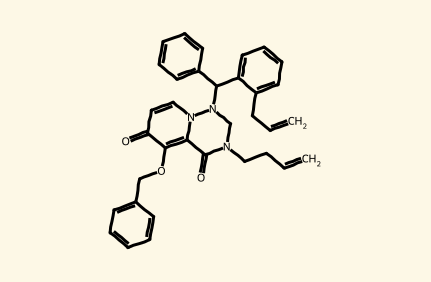 C=CCCN1CN(C(c2ccccc2)c2ccccc2CC=C)n2ccc(=O)c(OCc3ccccc3)c2C1=O